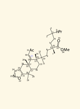 CCCC(C)(C)CC[C@@](C)(CCC(C)(C)[C@]1(C)CCC2C(C)(C)c3oncc3C[C@]2(C)/C1=C/C(C)=O)C(=O)OC